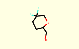 OCC1CCC(F)(F)CO1